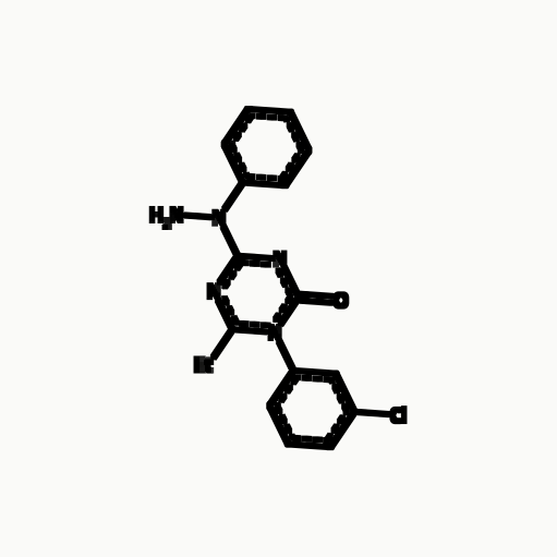 CCc1nc(N(N)c2ccccc2)nc(=O)n1-c1cccc(Cl)c1